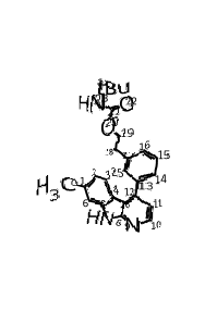 Cc1ccc2c(c1)[nH]c1nccc(-c3cccc(CCOC(=O)NC(C)(C)C)c3)c12